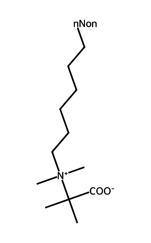 CCCCCCCCCCCCCCC[N+](C)(C)C(C)(C)C(=O)[O-]